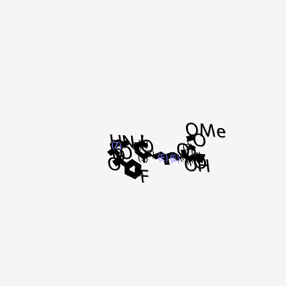 COC(=O)C[C@@H]1C[C@@]2(CO2)[C@H](O)[C@@H](/C=C/C(C)=C/C[C@@H]2O[C@H](C)[C@H](NC(=O)/C=C\C(C)OC(=O)c3ccc(F)cc3)C[C@@H]2C)O1